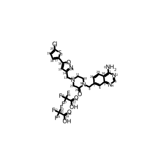 Nc1ncnc2cc(CN3CCN(Cc4cc(-c5ccc(Cl)s5)on4)CC3=O)ccc12.O=C(O)C(F)(F)F.O=C(O)C(F)(F)F